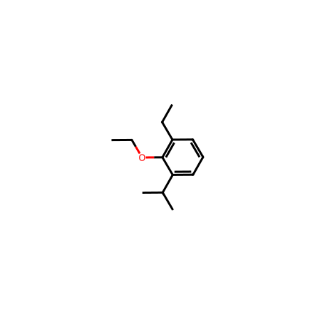 CCOc1c(CC)cccc1[C](C)C